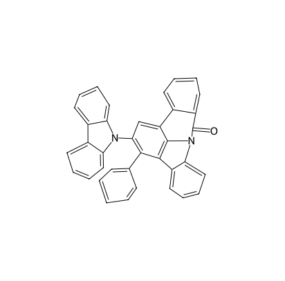 O=c1c2ccccc2c2cc(-n3c4ccccc4c4ccccc43)c(-c3ccccc3)c3c4ccccc4n1c23